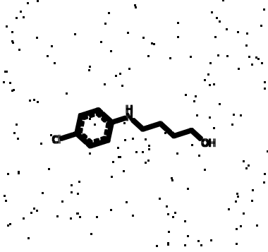 OCCCCNc1ccc(Cl)cc1